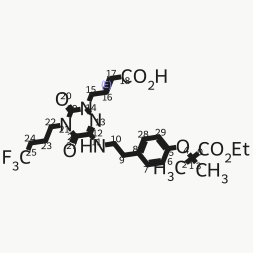 CCOC(=O)C(C)(C)Oc1ccc(CCNc2nn(C/C=C/C(=O)O)c(=O)n(CCCC(F)(F)F)c2=O)cc1